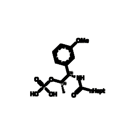 CCCCCCCC(=O)N[C@@H](c1cccc(OC)c1)[C@H](C)OP(=O)(O)O